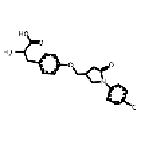 CC(Cc1ccc(OCC2CC(=O)N(c3ccc(Cl)cc3)C2)cc1)C(=O)O